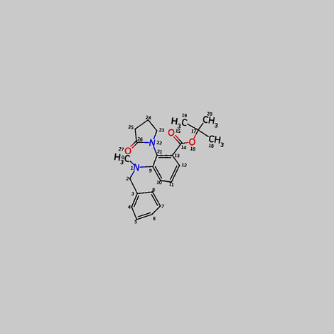 CN(Cc1ccccc1)c1cccc(C(=O)OC(C)(C)C)c1N1CCCC1=O